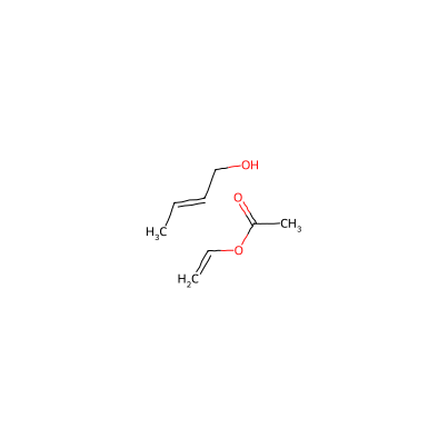 C=COC(C)=O.CC=CCO